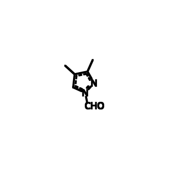 Cc1cn(C=O)nc1C